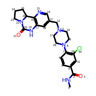 CNC(=O)c1ccc(N2CCN(Cc3cnc4c(c3)NC(=O)N3CCCC43)CC2)c(Cl)c1